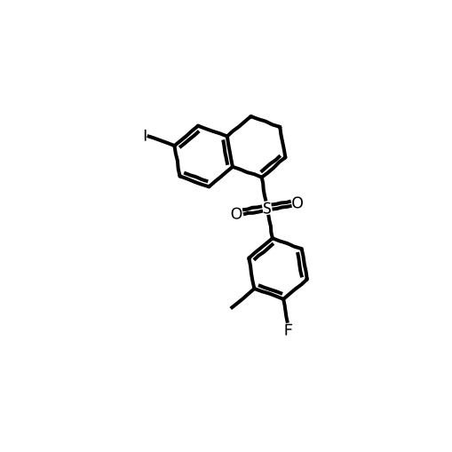 Cc1cc(S(=O)(=O)C2=CCCc3cc(I)ccc32)ccc1F